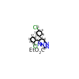 CCOC(=O)c1nnc2cc(-c3ccc(Cl)cc3)c(-c3ccccc3Cl)nn12